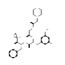 COc1cc(O)cc(C[C@H](NC(=O)[C@H](C)NC(=O)CN2CCOCC2)C(=O)N[C@@H](Cc2ccccc2)C(=O)[C@@]2(C)CO2)c1